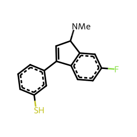 CNC1C=C(c2cccc(S)c2)c2ccc(F)cc21